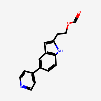 O=COCCc1cc2cc(-c3ccncc3)ccc2[nH]1